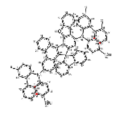 Cc1ccc(N(c2ccc(C(C)(C)C)cc2)c2ccc3c4c(c5ccccc5c3c2)-c2c(cc(N(c3ccc(C(C)(C)C)cc3)c3ncc(C)cc3-c3ccccc3C)c3c2oc2ccccc23)C42c3ccccc3-c3ccccc32)c(-c2ccccc2C)c1